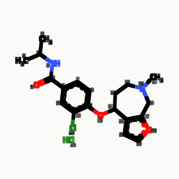 CC(C)NC(=O)c1ccc(OC2CCN(C)Cc3occc32)c(Cl)c1.Cl